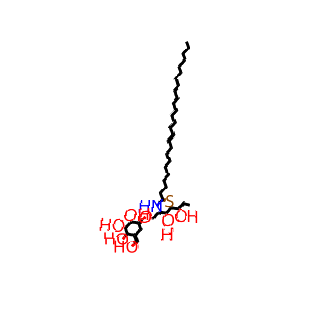 CCCCCCCCCCCCCCCCCCCCCCCCCC(=S)NC(COC1CC(CO)C(O)C(O)C1O)C(O)CC(O)CC